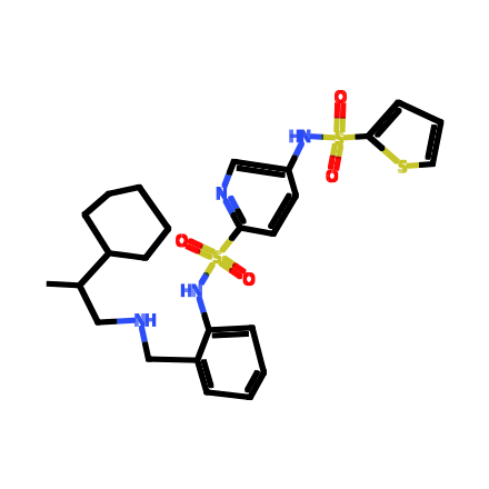 CC(CNCc1ccccc1NS(=O)(=O)c1ccc(NS(=O)(=O)c2cccs2)cn1)C1CCCCC1